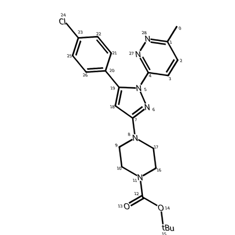 Cc1ccc(-n2nc(N3CCN(C(=O)OC(C)(C)C)CC3)cc2-c2ccc(Cl)cc2)nn1